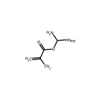 C=C(C)C(=O)OC(N)CCCCC